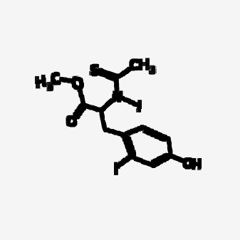 COC(=O)C(Cc1ccc(O)cc1I)N(I)C(C)=S